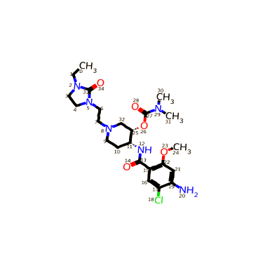 CCN1CCN(CCN2CC[C@@H](NC(=O)c3cc(Cl)c(N)cc3OC)[C@@H](OC(=O)N(C)C)C2)C1=O